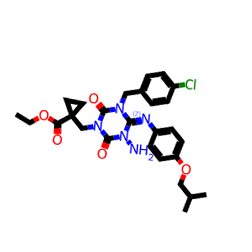 CCOC(=O)C1(Cn2c(=O)n(N)/c(=N\c3ccc(OCC(C)C)cc3)n(Cc3ccc(Cl)cc3)c2=O)CC1